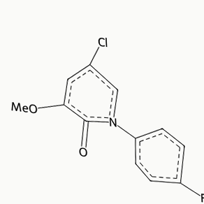 COc1cc(Cl)cn(-c2ccc(F)cc2)c1=O